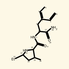 C=C/C(=C\C)CC(NC(=O)C1NC(CC)CC1C)C(N)=O